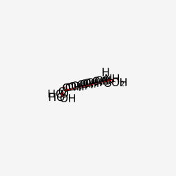 CCC(OC1OC(C)C(O)C(O)C1O)C(C)C(=O)CC(O)CC(O)CC(O)/C=C/CC(O)CC(O)CC(O)CC(O)/C=C/CC(O)CC(O)CCCNC(=O)C(N)c1ccc(O)cc1